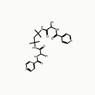 CC(C)C(NC(=O)c1ccncc1)C(=O)NC(C)(C)CC(C)(C)NC(=O)C(NC(=O)c1ccncc1)C(C)C